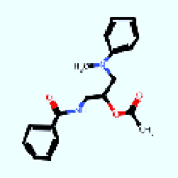 CC(=O)OC(CNC(=O)c1ccccc1)CN(C)c1ccccc1